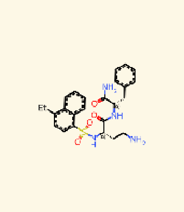 CCc1ccc(S(=O)(=O)N[C@@H](CCN)C(=O)N[C@@H](Cc2ccccc2)C(N)=O)c2ccccc12